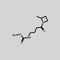 CC1CCN1C(=O)CCCNC(=O)OC(C)(C)C